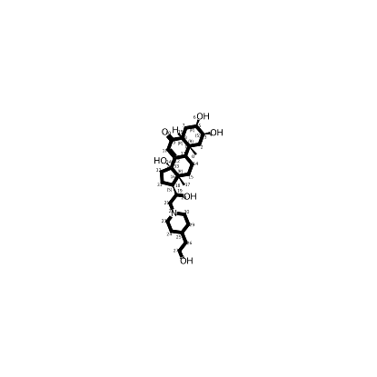 C[C@]12C[C@H](O)[C@H](O)C[C@H]1C(=O)C=C1C2CC[C@]2(C)[C@@H](C(O)CN3CCC(CCO)CC3)CC[C@@]12O